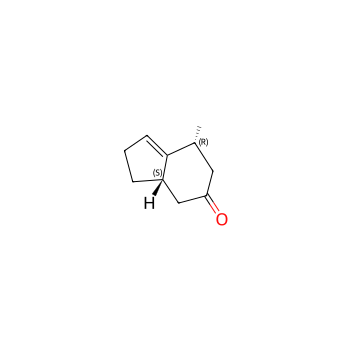 C[C@@H]1CC(=O)C[C@@H]2CCC=C21